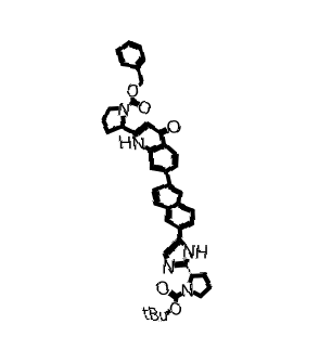 CC(C)(C)OC(=O)N1CCC[C@H]1c1ncc(-c2ccc3cc(-c4ccc5c(=O)cc(C6CCCN6C(=O)OCc6ccccc6)[nH]c5c4)ccc3c2)[nH]1